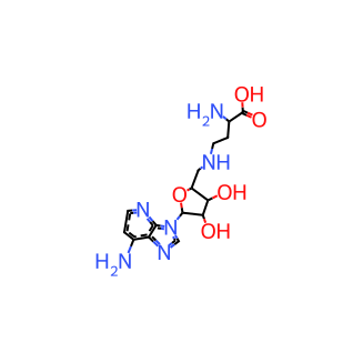 Nc1ccnc2c1ncn2C1OC(CNCCC(N)C(=O)O)C(O)C1O